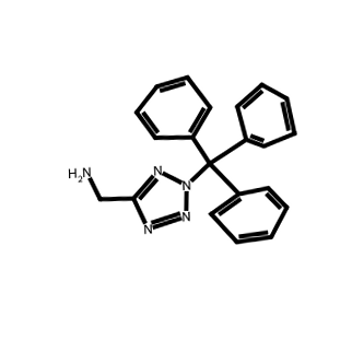 NCc1nnn(C(c2ccccc2)(c2ccccc2)c2ccccc2)n1